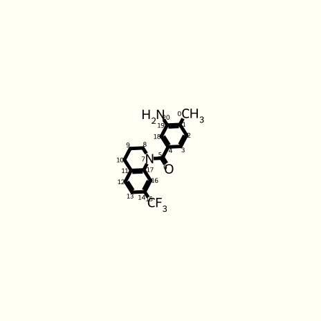 Cc1ccc(C(=O)N2CCCc3ccc(C(F)(F)F)cc32)cc1N